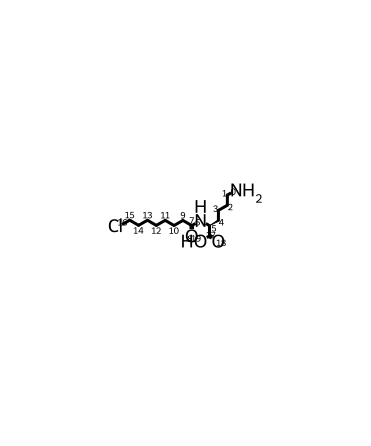 NCCCC[C@H](NC(=O)CCCCCCCCl)C(=O)O